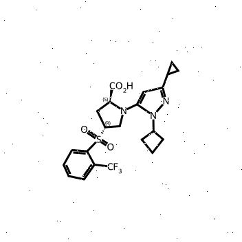 O=C(O)[C@@H]1C[C@@H](S(=O)(=O)c2ccccc2C(F)(F)F)CN1c1cc(C2CC2)nn1C1CCC1